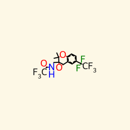 CC1(C)Oc2ccc(C(F)(F)C(F)(F)F)cc2C2OC21CNC(=O)C(F)(F)F